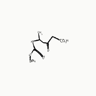 CC(NC(=O)OC(C)(C)C)C(=O)CC(=O)O